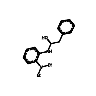 CCN(CC)c1ccccc1NC(O)Cc1ccccc1